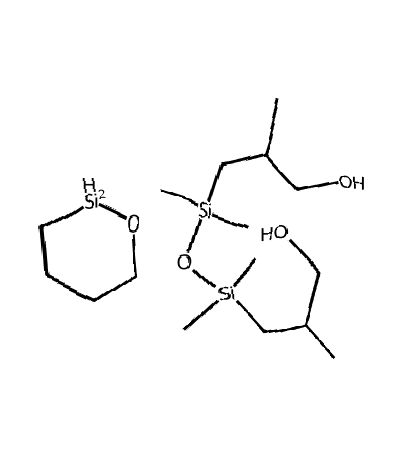 C1CC[SiH2]OC1.CC(CO)C[Si](C)(C)O[Si](C)(C)CC(C)CO